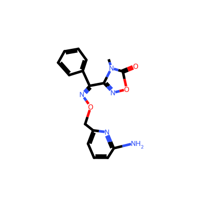 Cn1c(C(=NOCc2cccc(N)n2)c2ccccc2)noc1=O